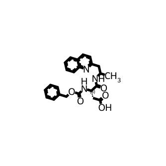 CC(Cc1ccc2ccccc2n1)NC(=O)[C@H](CC(=O)O)NC(=O)OCc1ccccc1